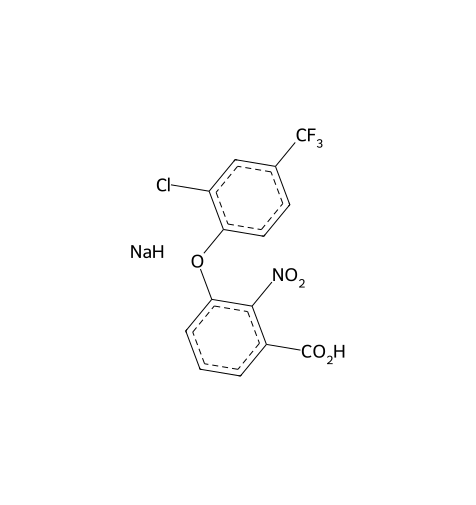 O=C(O)c1cccc(Oc2ccc(C(F)(F)F)cc2Cl)c1[N+](=O)[O-].[NaH]